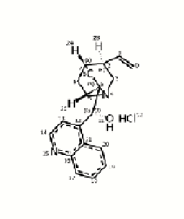 C=C[C@H]1CN2CC[C@H]1C[C@H]2[C@H](O)c1ccnc2ccccc12.Cl